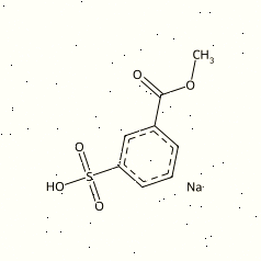 COC(=O)c1cccc(S(=O)(=O)O)c1.[Na]